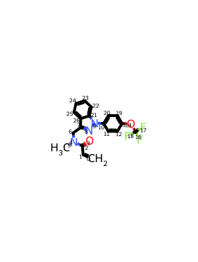 C=CC(=O)N(C)Cc1nn(-c2ccc(OC(F)(F)F)cc2)c2ccccc12